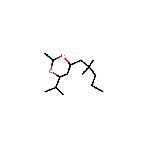 CCCC(C)(C)CC1CC(C(C)C)OC(C)O1